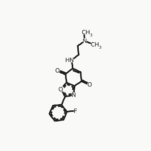 CN(C)CCNC1=CC(=O)c2nc(-c3ccccc3F)oc2C1=O